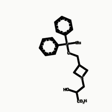 CC(C)(C)[Si](OCC1CN(CC(O)C(=O)O)C1)(c1ccccc1)c1ccccc1